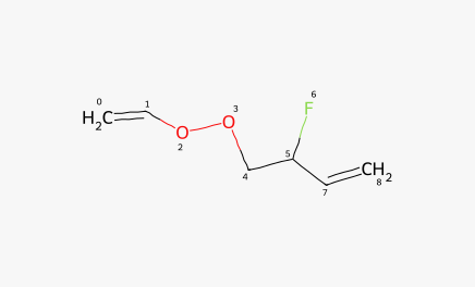 C=COOCC(F)C=C